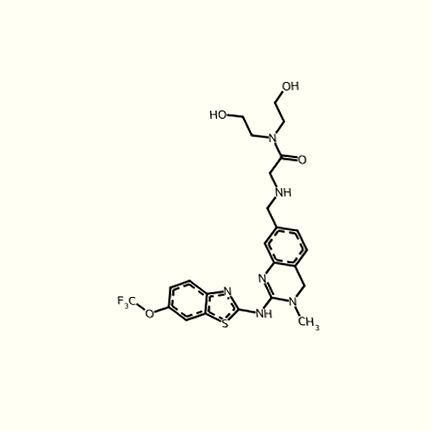 CN1Cc2ccc(CNCC(=O)N(CCO)CCO)cc2N=C1Nc1nc2ccc(OC(F)(F)F)cc2s1